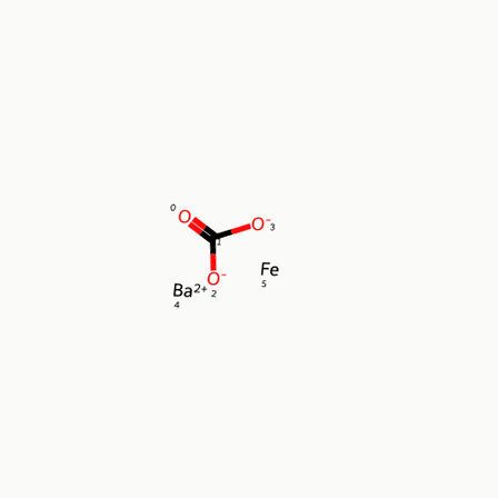 O=C([O-])[O-].[Ba+2].[Fe]